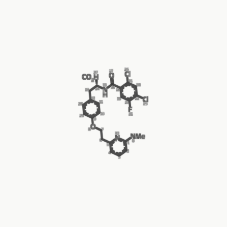 CNc1cccc(CCOc2ccc(C[C@H](NC(=O)c3cc(F)c(Cl)cc3Cl)C(=O)O)cc2)n1